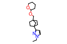 CCn1ccc(C23CCC(COC4CCCCO4)(CC2)C3)n1